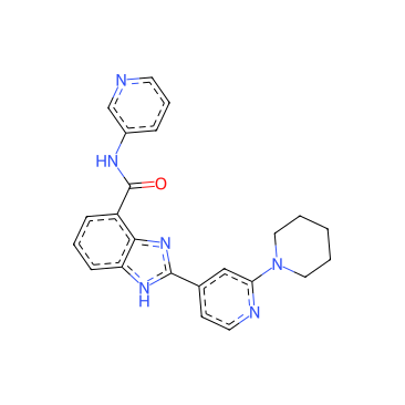 O=C(Nc1cccnc1)c1cccc2[nH]c(-c3ccnc(N4CCCCC4)c3)nc12